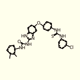 Cc1cccc(NC(=O)Nc2nc3cc(Oc4ccc(NC(=S)Nc5cccc(Cl)c5)cc4)ccc3[nH]2)c1C